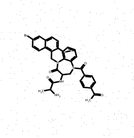 COc1ccc2cc(Br)ccc2c1CN1C(=O)C(NC(=O)C(C)N)CN(C(=O)c2ccc(C(C)=O)cc2)c2ccccc21